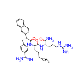 CCCC[C@H](NC(=O)[C@H](Cc1ccc(C(=N)N)cc1)c1ccc2ccccc2c1)C(=O)N[C@@H](CCCNC(=N)N)C(N)=O